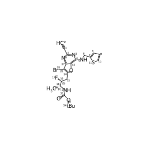 C#Cc1nc(NCc2cccs2)c2oc(C[C@H](F)[C@@H](C)NC(=O)OC(C)(C)C)c(Br)c2n1